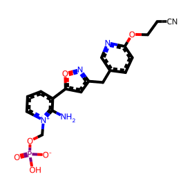 N#CCCOc1ccc(Cc2cc(-c3ccc[n+](COP(=O)([O-])O)c3N)on2)cn1